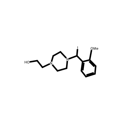 COc1ccccc1C(I)N1CCN(CCO)CC1